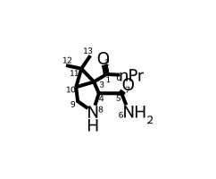 CCCC(=O)C12C(C(N)=O)NCC1C2(C)C